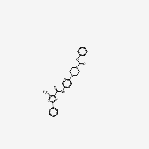 O=C(Nc1ccc(N2CCN(C(=O)Oc3ccccc3)CC2)nc1)c1nc(-c2ccccc2)oc1C(F)(F)F